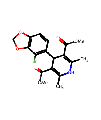 COC(=O)C1=C(C)NC(C)=C(C(=O)OC)C1c1ccc2c(c1Br)OCO2